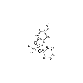 C=Cc1ccc(OC(C)(OC2CCCCC2)C(C)C)cc1